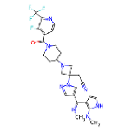 C=Nc1[nH]ccc1/C(=N\C)c1cnn(C2(CC#N)CN(C3CCN(C(=O)c4ccnc(C(F)(F)F)c4F)CC3)C2)c1